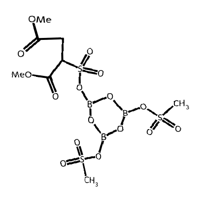 COC(=O)CC(C(=O)OC)S(=O)(=O)OB1OB(OS(C)(=O)=O)OB(OS(C)(=O)=O)O1